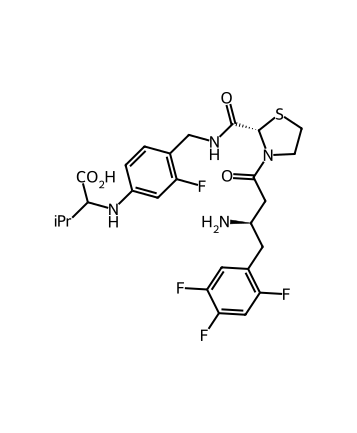 CC(C)C(Nc1ccc(CNC(=O)[C@@H]2SCCN2C(=O)C[C@H](N)Cc2cc(F)c(F)cc2F)c(F)c1)C(=O)O